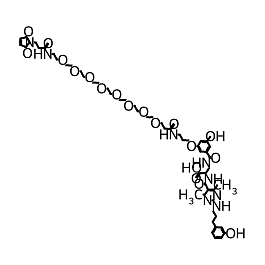 Cc1nc(NCCCc2cccc(O)c2)nc(C)c1C(=O)NC(CNC(=O)c1cc(O)cc(OCCCNC(=O)CCOCCOCCOCCOCCOCCOCCOCCOCCNC(=O)CCN2C(=O)C=CC2=O)c1)C(=O)O